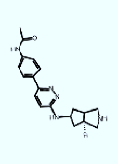 CC(=O)Nc1ccc(-c2ccc(N[C@H]3CC4CNC[C@H]4C3)nn2)cc1